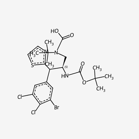 CC(C)(C)OC(=O)N[C@H](CN(C(=O)O)C(C)(C)C)C(c1cc(Cl)c(Cl)c(Br)c1)c1nccs1